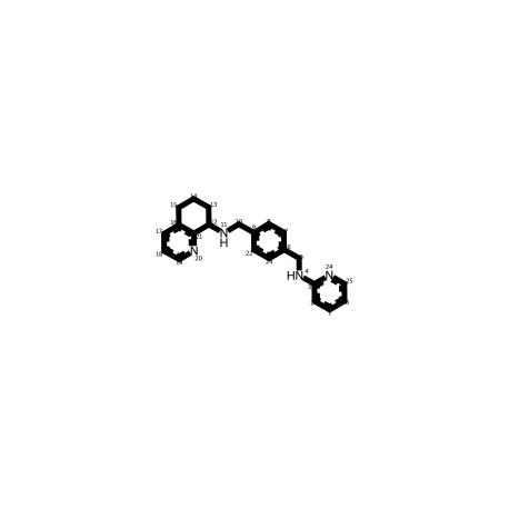 c1ccc(NCc2ccc(CNC3CCCc4cccnc43)cc2)nc1